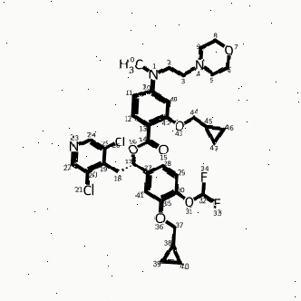 CN(CCN1CCOCC1)c1ccc(C(=O)O[C@@H](Cc2c(Cl)cncc2Cl)c2ccc(OC(F)F)c(OCC3CC3)c2)c(OCC2CC2)c1